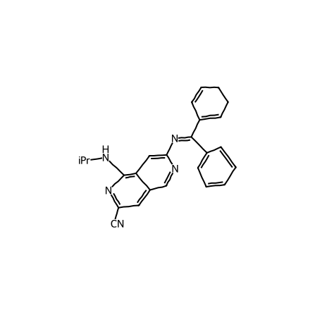 CC(C)Nc1nc(C#N)cc2cnc(/N=C(/C3=CCCC=C3)c3ccccc3)cc12